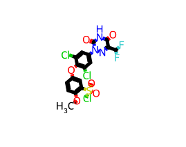 COc1ccc(Oc2c(Cl)cc(-n3nc(C(F)F)c(=O)[nH]c3=O)cc2Cl)cc1S(=O)(=O)Cl